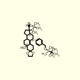 CC(C)(C)[Si](C)(C)OCc1ccc([C@H]2C[C@@]3(C)C(CCC3(C#N)O[Si](C)(C)C)C3CC[C@@]4(O)CC5(CCC4=C32)OCCO5)cc1